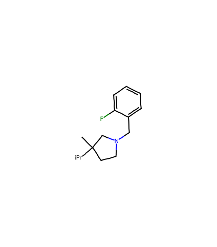 CC(C)C1(C)CCN(Cc2ccccc2F)C1